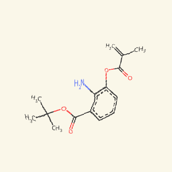 C=C(C)C(=O)Oc1cccc(C(=O)OC(C)(C)C)c1N